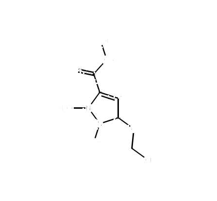 CCOC1C=C(C(=O)OC)N(C)N1C